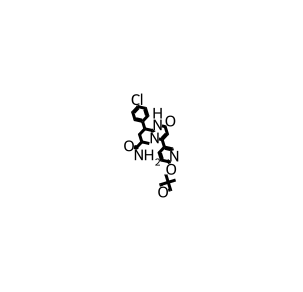 CC(CC(c1ccc(Cl)cc1)c1nc(-c2ccc(OCC3(C)COC3)nc2)cc(=O)[nH]1)C(N)=O